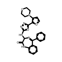 O=C1Nc2ccccc2C(c2ccccc2)=NC1Nc1nnc(-c2occc2N2CCOCC2)o1